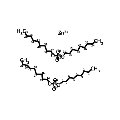 CCCCCCCCCOP(=O)([O-])OCCCCCCCCC.CCCCCCCCCOP(=O)([O-])OCCCCCCCCC.[Zn+2]